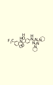 O=C(Nc1cc(C(F)(F)F)ccc1Cl)c1ccc(Nc2nc(N3CCCCC3)nc(N3CCCCC3)n2)cc1O